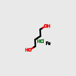 Cl.OCCCCO.[Fe]